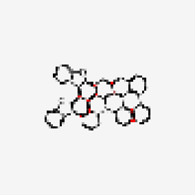 c1ccc(-c2cccc3cccc(-c4ccccc4N(c4ccccc4-c4ccc5c(c4)oc4ccccc45)c4ccccc4-c4ccc5oc6ccccc6c5c4)c23)cc1